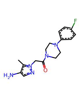 Cc1c(N)cnn1CC(=O)N1CCN(c2ccc(F)cc2)CC1